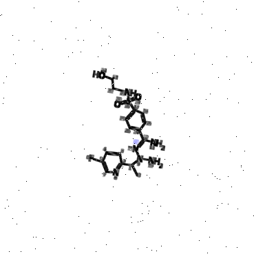 CC(c1ccc(F)cn1)N(N)/N=C(\N)c1ccc(S(=O)(=O)NCCO)cc1